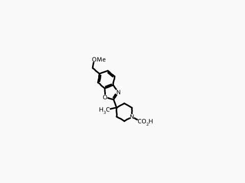 COCc1ccc2nc(C3(C)CCN(C(=O)O)CC3)oc2c1